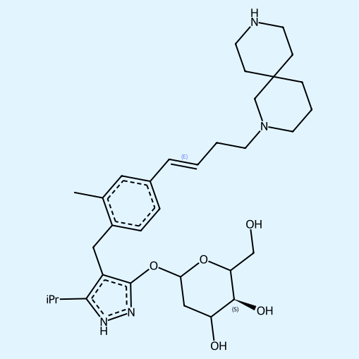 Cc1cc(/C=C/CCN2CCCC3(CCNCC3)C2)ccc1Cc1c(OC2CC(O)[C@H](O)C(CO)O2)n[nH]c1C(C)C